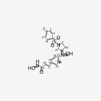 Cc1ccc(S(=O)(=O)N2CC[C@@H](Nc3ccc(C=CC(=O)NO)cn3)C2)cc1.Cl